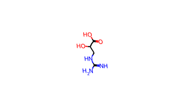 N=C(N)NCC(O)C(=O)O